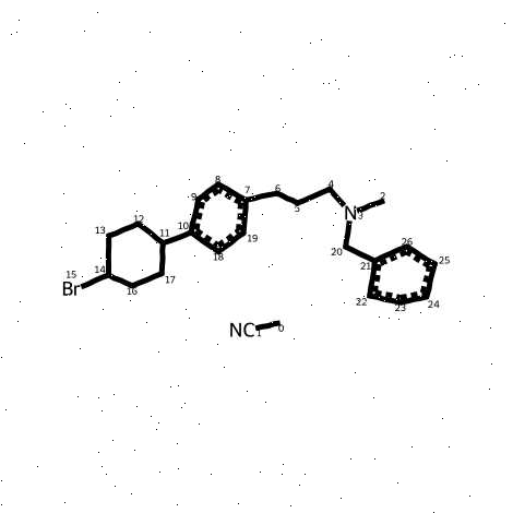 CC#N.CN(CCCc1ccc(C2CCC(Br)CC2)cc1)Cc1ccccc1